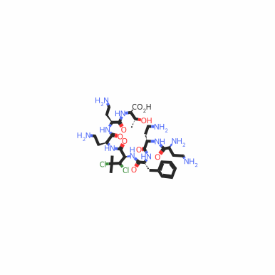 C[C@@H](O)[C@H](NC(=O)[C@H](CCN)NC(=O)[C@H](CCN)NC(=O)[C@@H](NC(=O)[C@@H](Cc1ccccc1)NC(=O)[C@H](CCN)NC(=O)[C@@H](N)CCN)C(Cl)C(C)(C)Cl)C(=O)O